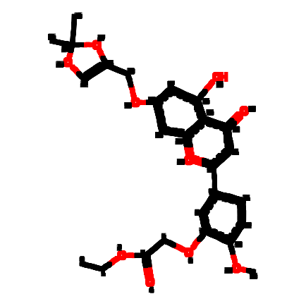 CCOC(=O)COc1cc(-c2cc(=O)c3c(O)cc(OCC4=COC(C)(C)O4)cc3o2)ccc1OC